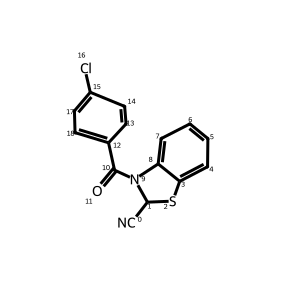 N#CC1Sc2ccccc2N1C(=O)c1ccc(Cl)cc1